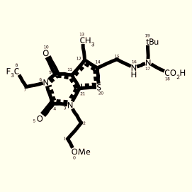 COCCn1c(=O)n(CC(F)(F)F)c(=O)c2c(C)c(CNN(C(=O)O)C(C)(C)C)sc21